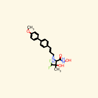 COc1ccc(-c2ccc(/C=C/CNC(C(=O)NO)C(C)(O)C(F)F)cc2)cc1